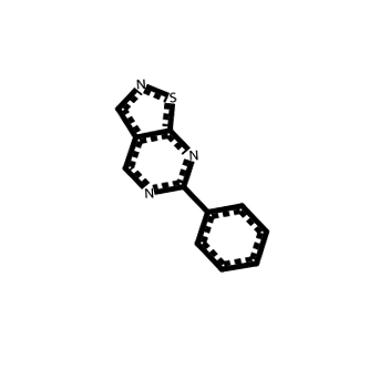 c1ccc(-c2ncc3cnsc3n2)cc1